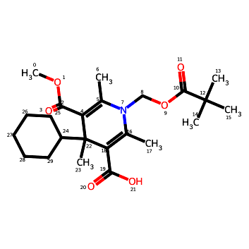 COC(=O)C1=C(C)N(COC(=O)C(C)(C)C)C(C)=C(C(=O)O)C1(C)C1CCCCC1